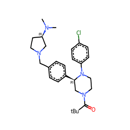 CN(C)[C@@H]1CCN(Cc2ccc([C@@H]3CN(C(=O)C(C)(C)C)CCN3c3ccc(Cl)cc3)cc2)C1